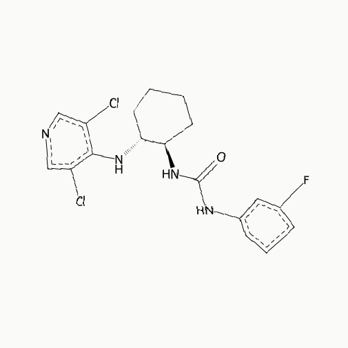 O=C(Nc1cccc(F)c1)N[C@@H]1CCCC[C@H]1Nc1c(Cl)cncc1Cl